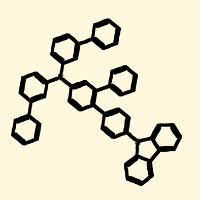 c1ccc(-c2cccc(N(c3cccc(-c4ccccc4)c3)c3ccc(-c4ccc(-n5c6ccccc6c6ccccc65)cc4)c(-c4ccccc4)c3)c2)cc1